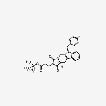 CC(C)(C)OC(=O)CCN1C(=O)N2Cc3c(c4ccccc4n3Cc3ccc(F)cc3)C[C@H]2C1=S